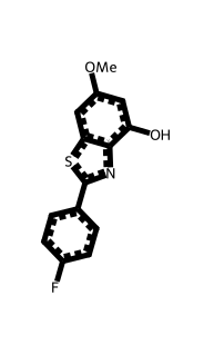 COc1cc(O)c2nc(-c3ccc(F)cc3)sc2c1